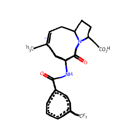 C/C1=C/CC2CCC(C(=O)O)N2C(=O)C(NC(=O)c2cccc(C(F)(F)F)c2)C1